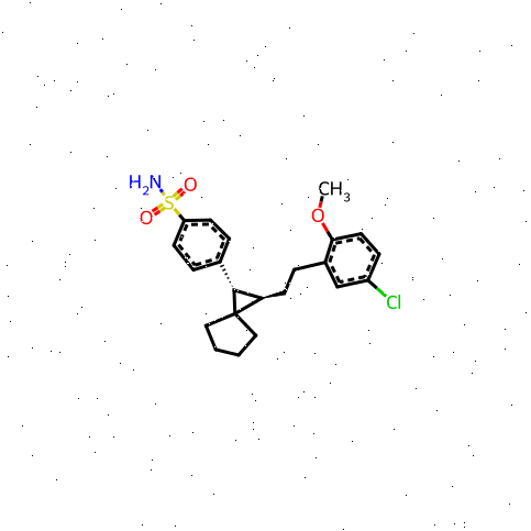 COc1ccc(Cl)cc1CC[C@@H]1[C@@H](c2ccc(S(N)(=O)=O)cc2)C12CCCC2